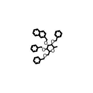 CC1OC(COCc2ccccc2)C(OCc2ccccc2)C(OCc2ccc3ccccc3c2)C1OCc1ccccc1